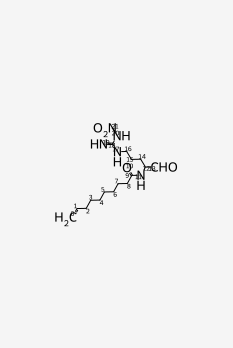 C=CCCCCCCCC(=O)NC(C=O)CCCNC(=N)N[N+](=O)[O-]